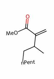 C=C(C(=O)OC)C(C)CCCCCC